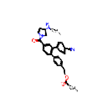 CN[C@H]1CCN(C(=O)c2ccc(-c3ccc(CCOC(C)=O)cc3)c(-c3ccc(C#N)cc3)c2)C1